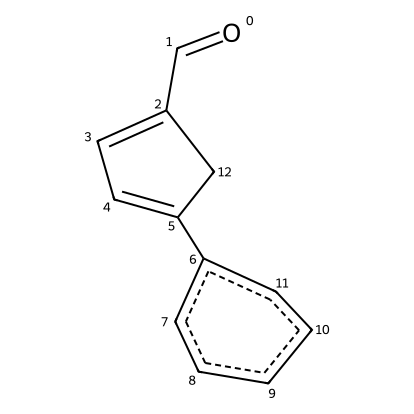 O=CC1=CC=C(c2ccccc2)C1